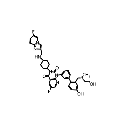 CN(CCO)Cc1cc(O)ccc1-c1cccc(-n2c(=O)n(C3CCC(NCc4cn5cc(F)ccc5n4)CC3)c(=O)c3cc(F)cnc32)c1